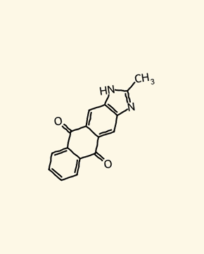 Cc1nc2cc3c(cc2[nH]1)C(=O)c1ccccc1C3=O